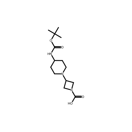 CC(C)(C)OC(=O)NC1CCN(C2CN(C(=O)O)C2)CC1